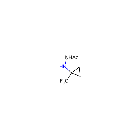 CC(=O)NNC1(C(F)(F)F)CC1